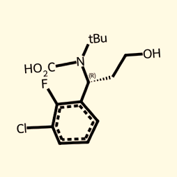 CC(C)(C)N(C(=O)O)[C@H](CCO)c1cccc(Cl)c1F